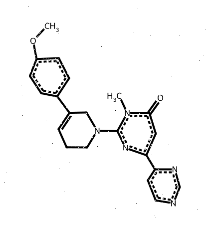 COc1ccc(C2=CCCN(c3nc(-c4ccncn4)cc(=O)n3C)C2)cc1